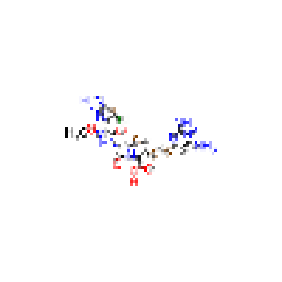 CON=C(C(=O)NC1C(=O)N2C(C(=O)O)=C(SCSc3cc(N)nc(N)n3)CSC12)c1nc(N)sc1Cl